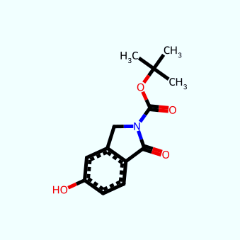 CC(C)(C)OC(=O)N1Cc2cc(O)ccc2C1=O